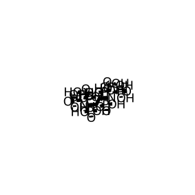 O=P(O)(O)C([N]C(CCC([N]C(P(=O)(O)O)P(=O)(O)O)(P(=O)(O)O)P(=O)(O)O)(P(=O)(O)O)P(=O)(O)O)P(=O)(O)O